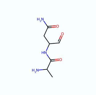 CC(N)C(=O)NC(C=O)CC(N)=O